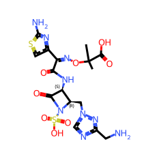 CC(C)(ON=C(C(=O)N[C@@H]1C(=O)N(S(=O)(=O)O)[C@@H]1Cn1cnc(CN)n1)c1csc(N)n1)C(=O)O